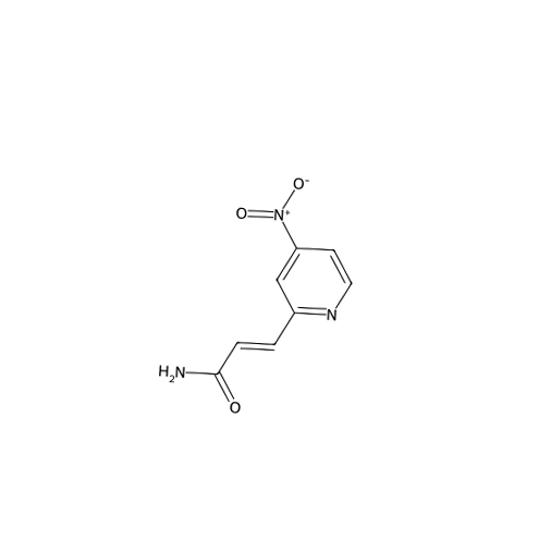 NC(=O)C=Cc1cc([N+](=O)[O-])ccn1